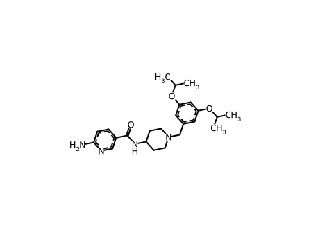 CC(C)Oc1cc(CN2CCC(NC(=O)c3ccc(N)nc3)CC2)cc(OC(C)C)c1